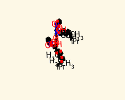 CC(C)CCCC(C)C1CCC2C3CC=C4CC(C(CCOCCOCCN(CC(O)CN5C(=O)c6ccccc6C5=O)C5CCC6(C)C(=CCC7C6CCC6(C)C(C(C)CCCC(C)C)CCC76)C5)CC(O)CN5C(=O)c6ccccc6C5=O)CCC4(C)C3CCC12C